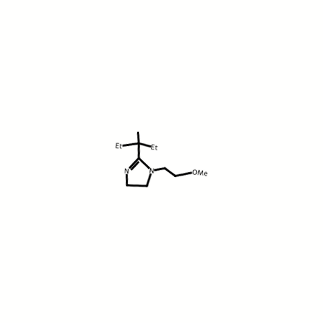 CCC(C)(CC)C1=NCCN1CCOC